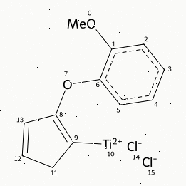 COc1ccccc1OC1=[C]([Ti+2])CC=C1.[Cl-].[Cl-]